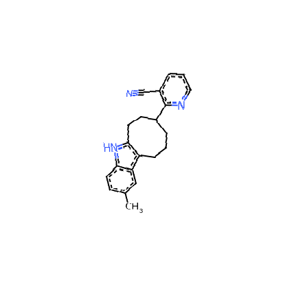 Cc1ccc2[nH]c3c(c2c1)CCCC(c1ncccc1C#N)CC3